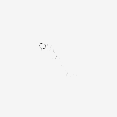 CCCCCCCCCCCCCCCCCC(=O)OCCC1(C)CCc2c(C)cc(C)c(C)c2O1